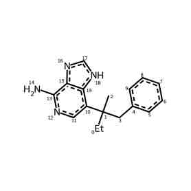 CCC(C)(Cc1ccccc1)c1cnc(N)c2nc[nH]c12